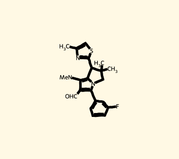 CNc1c(C=O)c(-c2cccc(F)c2)n2c1C(c1nc(C)cs1)C(C)(C)C2